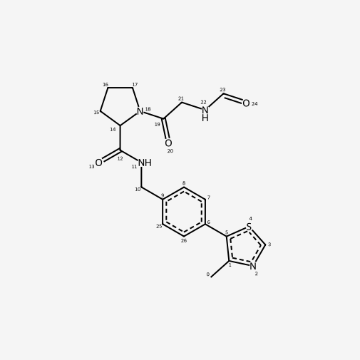 Cc1ncsc1-c1ccc(CNC(=O)C2CCCN2C(=O)CNC=O)cc1